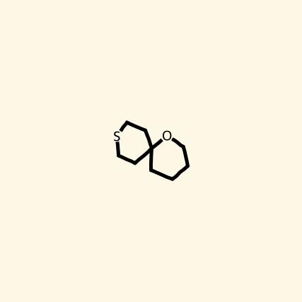 C1CCC2(CCSCC2)OC1